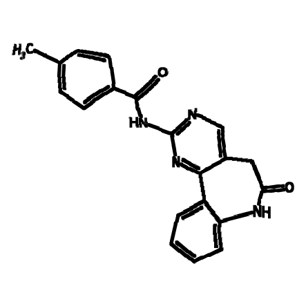 Cc1ccc(C(=O)Nc2ncc3c(n2)-c2ccccc2NC(=O)C3)cc1